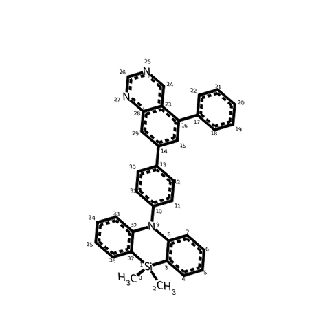 C[Si]1(C)c2ccccc2N(c2ccc(-c3cc(-c4ccccc4)c4cncnc4c3)cc2)c2ccccc21